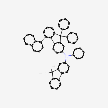 CC1(C)c2ccccc2-c2ccc(N(c3ccccc3)c3ccc4c(c3)C(c3ccccc3)(c3ccccc3)c3cccc(-c5cccc6ccccc56)c3-4)cc21